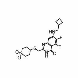 O=c1[nH]c(CSC2CCS(=O)(=O)CC2)nc2cc(NCC3CCC3)c(F)c(F)c12